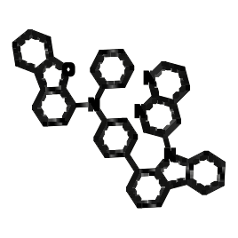 c1ccc(N(c2ccc(-c3cccc4c5ccccc5n(-c5cnc6ncccc6c5)c34)cc2)c2cccc3c2oc2ccccc23)cc1